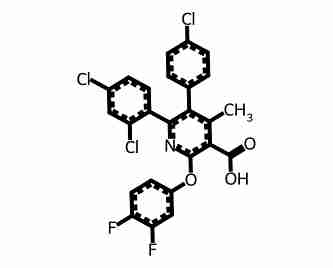 Cc1c(C(=O)O)c(Oc2ccc(F)c(F)c2)nc(-c2ccc(Cl)cc2Cl)c1-c1ccc(Cl)cc1